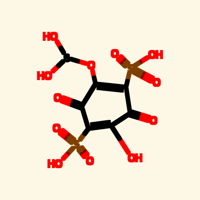 O=C1C(OB(O)O)=C(S(=O)(=O)O)C(=O)C(O)=C1S(=O)(=O)O